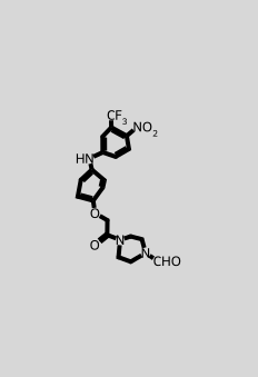 O=CN1CCN(C(=O)COc2ccc(Nc3ccc([N+](=O)[O-])c(C(F)(F)F)c3)cc2)CC1